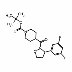 CC(C)(C)OC(=O)N1CCC(C(=O)N2OCCC2c2cc(F)cc(F)c2)CC1